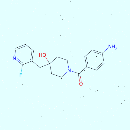 Nc1ccc(C(=O)N2CCC(O)(Cc3cccnc3F)CC2)cc1